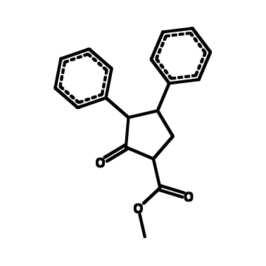 COC(=O)C1CC(c2ccccc2)C(c2ccccc2)C1=O